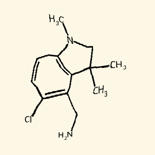 CN1CC(C)(C)c2c1ccc(Cl)c2CN